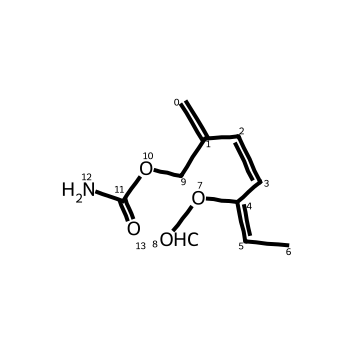 C=C(/C=C\C(=C/C)OC=O)COC(N)=O